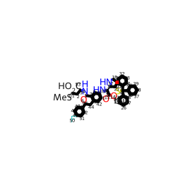 CSCC[C@H](NC(=O)c1cc(NC(C(=O)OC(C)(C)C)[C@H]2NCC[C@H]2SC(c2ccccc2)(c2ccccc2)c2ccccc2)ccc1CCc1ccc(F)cc1)C(=O)O